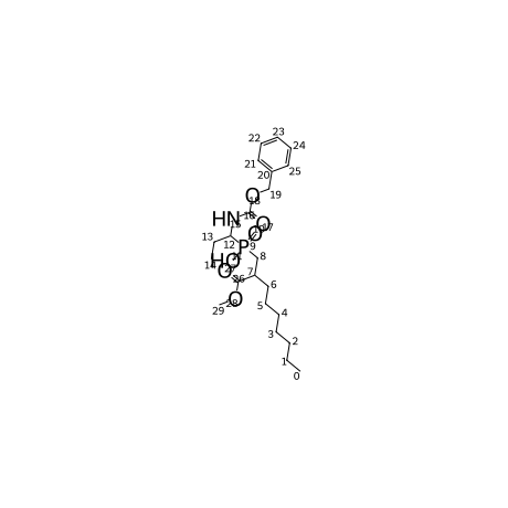 CCCCCCCC(CP(=O)(O)C(CC)NC(=O)OCc1ccccc1)C(=O)OC